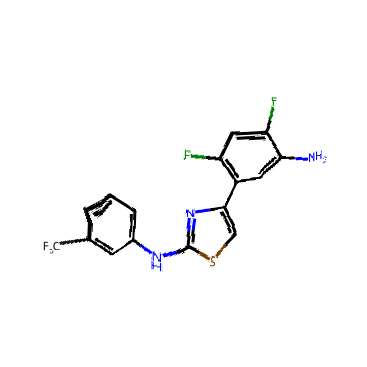 Nc1cc(-c2csc(Nc3cccc(C(F)(F)F)c3)n2)c(F)cc1F